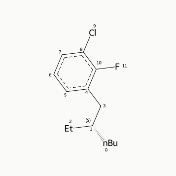 CCCC[C@H](CC)Cc1cccc(Cl)c1F